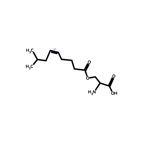 CC(C)C/C=C\CCCC(=O)OCC(N)C(=O)O